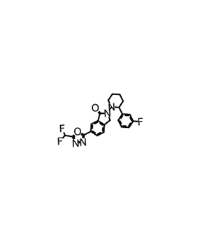 O=C1c2cc(-c3nnc(C(F)F)o3)ccc2CN1N1CCCCC1c1cccc(F)c1